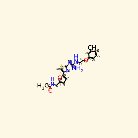 CC(=O)NCc1ccc(-c2csc(/N=C(\N)NCCOc3cccc(C)c3)n2)o1